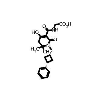 CC1(C)CC(O)=C(C(=O)NCC(=O)O)C(=O)N1C[C@H]1C[C@@H](c2ccccc2)C1